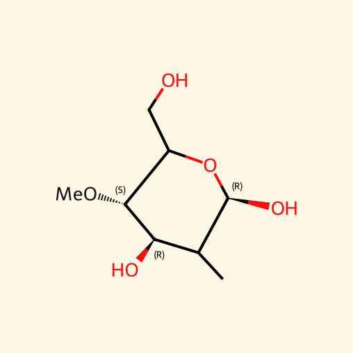 CO[C@@H]1C(CO)O[C@@H](O)C(C)[C@H]1O